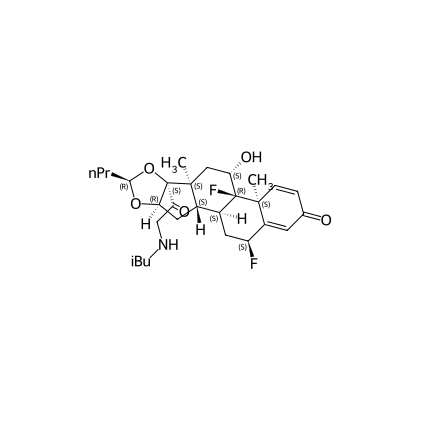 CCC[C@@H]1O[C@@H]2C[C@H]3[C@@H]4C[C@H](F)C5=CC(=O)C=C[C@]5(C)[C@@]4(F)[C@@H](O)C[C@]3(C)[C@]2(C(=O)CNC(C)CC)O1